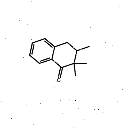 CC1Cc2ccccc2C(=O)C1(C)C